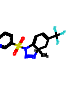 C[C@]12CC(C(F)(F)F)=CC=C1N(S(=O)(=O)c1cccnc1)N=N2